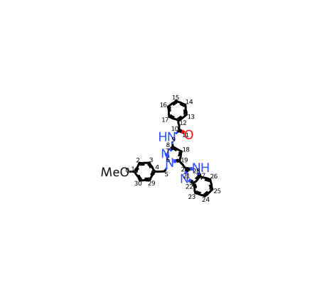 COc1ccc(Cn2nc(NC(=O)c3ccccc3)cc2-c2nc3ccccc3[nH]2)cc1